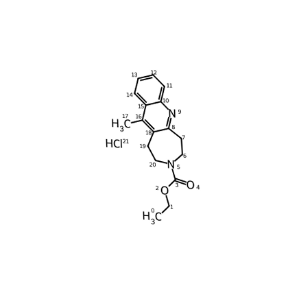 CCOC(=O)N1CCc2nc3ccccc3c(C)c2CC1.Cl